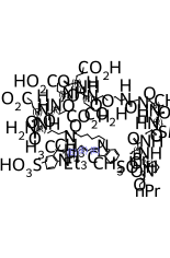 CCCOCC(=O)N1CCC[C@H]1C(=O)N[C@@H](CC(C)C)C(=O)NCC(=O)N[C@@H](CSC)C(=O)N[C@@H](C)C(=O)NCC(=O)NCCOCC(=O)N[C@H](CCC(=O)O)C(=O)N[C@H](CCC(=O)O)C(=O)N[C@H](CCC(=O)O)C(=O)N[C@H](CCC(=O)O)C(=O)N[C@H](CCC(=O)O)C(=O)N[C@H](CCCCNC(=O)CCCCCN1/C(=C/C=C/C=C/C2=[N+](CC)c3ccc(S(=O)(=O)O)cc3C2(C)C)C(C)(C)c2cc(S(=O)(=O)O)ccc21)C(N)=O